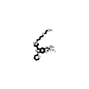 CC(C)(C)[Si](C)(C)Oc1ccc2c(c1)c(-c1cnn(CCCCOCCO)c1)nn2C1CCCCO1